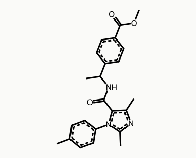 COC(=O)c1ccc(C(C)NC(=O)c2c(C)nc(C)n2-c2ccc(C)cc2)cc1